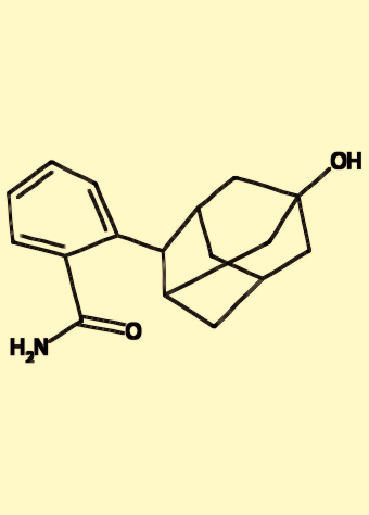 NC(=O)c1ccccc1C1C2CC3CC1CC(O)(C3)C2